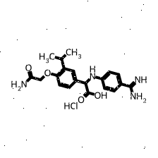 CC(C)c1cc(C(Nc2ccc(C(=N)N)cc2)C(=O)O)ccc1OCC(N)=O.Cl